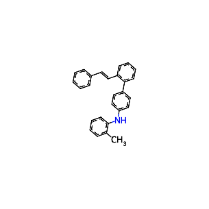 Cc1ccccc1Nc1ccc(-c2ccccc2C=Cc2ccccc2)cc1